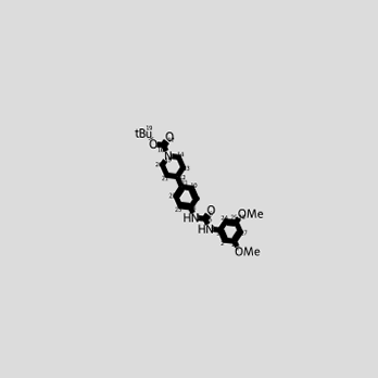 COc1cc(NC(=O)Nc2ccc(C3CCN(C(=O)OC(C)(C)C)CC3)cc2)cc(OC)c1